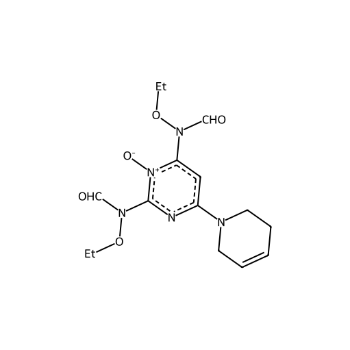 CCON(C=O)c1cc(N2CC=CCC2)nc(N(C=O)OCC)[n+]1[O-]